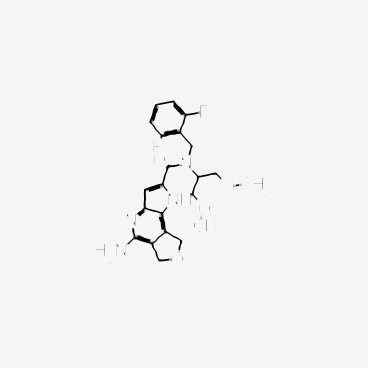 COCC(COC)N(Cc1c(F)cccc1F)C(=O)c1cc2nc(N)c3c(c2[nH]1)COC3